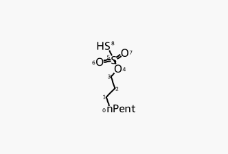 CCCCCCCCOS(=O)(=O)S